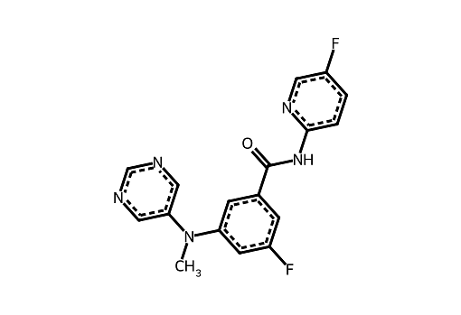 CN(c1cncnc1)c1cc(F)cc(C(=O)Nc2ccc(F)cn2)c1